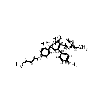 CCCCOc1ccc(C2(C)CC(c3ccc(C)cc3)=C(c3nnn(CC)n3)C(=O)N2)cc1